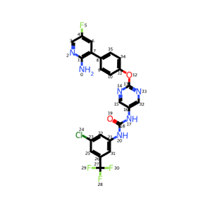 Nc1ncc(F)cc1-c1ccc(Oc2ncc(NC(=O)Nc3cc(Cl)cc(C(F)(F)F)c3)cn2)cc1